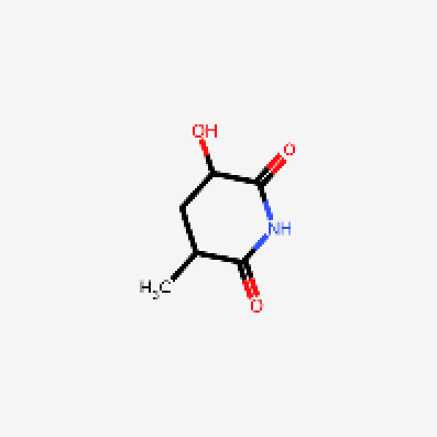 CC1CC(O)C(=O)NC1=O